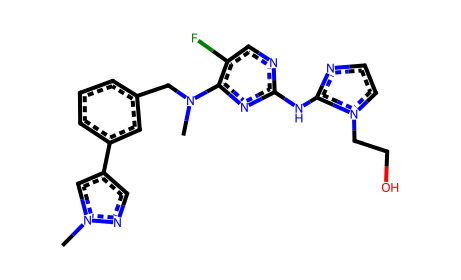 CN(Cc1cccc(-c2cnn(C)c2)c1)c1nc(Nc2nccn2CCO)ncc1F